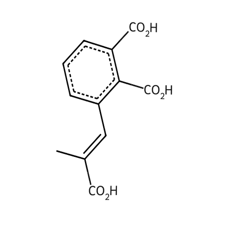 CC(=Cc1cccc(C(=O)O)c1C(=O)O)C(=O)O